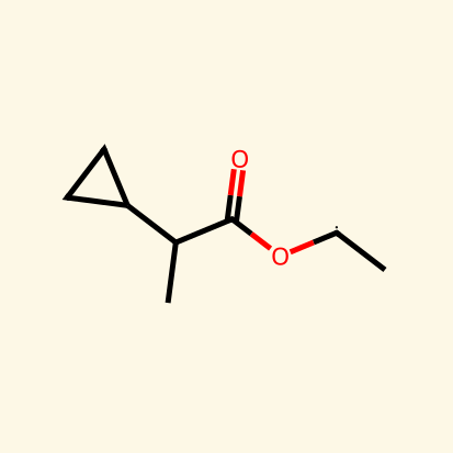 C[CH]OC(=O)C(C)C1CC1